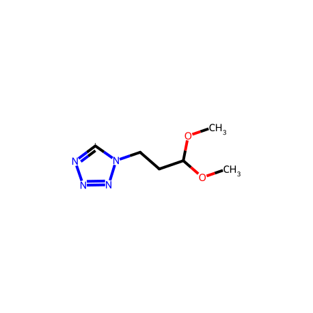 COC(CCn1[c]nnn1)OC